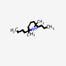 CCCCC1(C)CCCC(C)(CCCC)N1